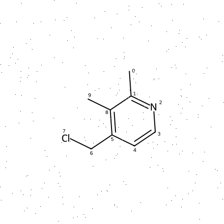 Cc1nccc(CCl)c1C